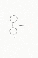 Cc1ccc2c(c1)C(=C1CCOCC1)c1cccc(F)c1-2